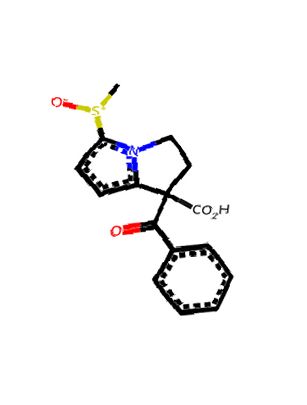 C[S+]([O-])c1ccc2n1CCC2(C(=O)O)C(=O)c1ccccc1